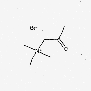 CC(=O)C[N+](C)(C)C.[Br-]